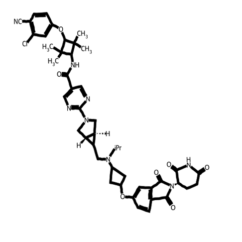 CC(C)N(CC1[C@@H]2CN(c3ncc(C(=O)NC4C(C)(C)C(Oc5ccc(C#N)c(Cl)c5)C4(C)C)cn3)C[C@@H]12)C1CC(Oc2ccc3c(c2)C(=O)N([C@H]2CCC(=O)NC2=O)C3=O)C1